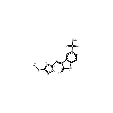 CNS(=O)(=O)c1ccc2c(c1)C(=Cc1ccc(CO)o1)C(=O)N2